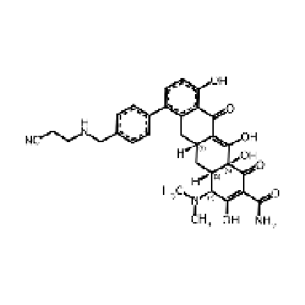 CN(C)[C@@H]1C(O)=C(C(N)=O)C(=O)[C@@]2(O)C(O)=C3C(=O)c4c(O)ccc(-c5ccc(CNCCC#N)cc5)c4C[C@H]3C[C@@H]12